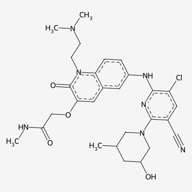 CNC(=O)COc1cc2cc(Nc3nc(N4CC(C)CC(O)C4)c(C#N)cc3Cl)ccc2n(CCN(C)C)c1=O